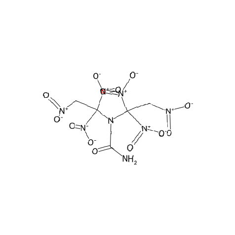 NC(=O)N(C(C[N+](=O)[O-])([N+](=O)[O-])[N+](=O)[O-])C(C[N+](=O)[O-])([N+](=O)[O-])[N+](=O)[O-]